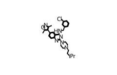 Cc1noc(C)c1-c1ccc2nc(N3CCN(CCC(C)C)CC3)nc(NCc3cccc(Cl)c3)c2c1